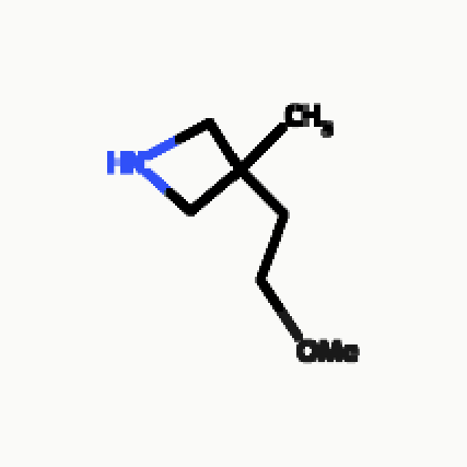 COCCC1(C)CNC1